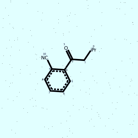 CC(C)CC(=O)c1ccccc1C#N